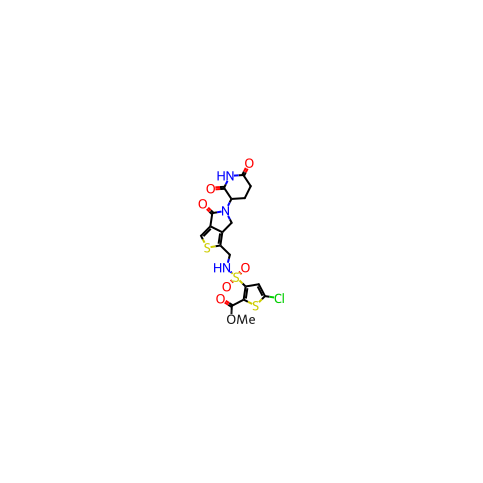 COC(=O)c1sc(Cl)cc1S(=O)(=O)NCc1scc2c1CN(C1CCC(=O)NC1=O)C2=O